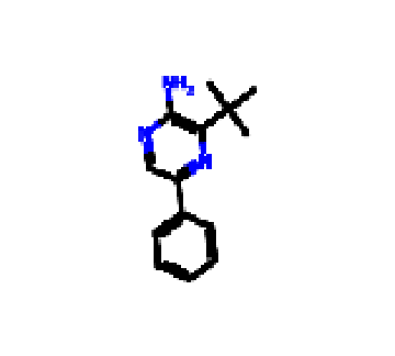 CC(C)(C)c1nc(-c2ccccc2)cnc1N